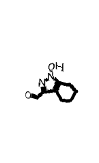 O=Cc1nn(O)c2c1CCCC2